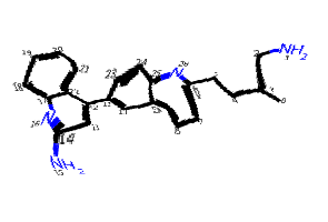 CC(CN)CCc1ccc2cc(-c3cc(N)nc4ccccc34)ccc2n1